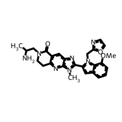 COc1cccc2cc(-c3nc4cc5c(nc4n3C)CCN(CC(C)N)C5=O)n(Cc3ncco3)c12